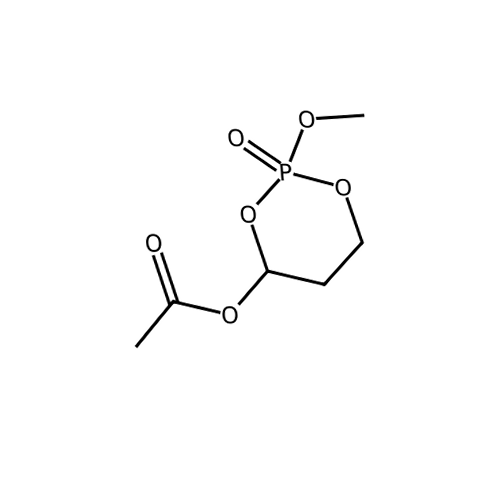 COP1(=O)OCCC(OC(C)=O)O1